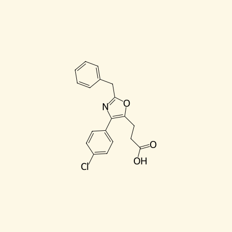 O=C(O)CCc1oc(Cc2ccccc2)nc1-c1ccc(Cl)cc1